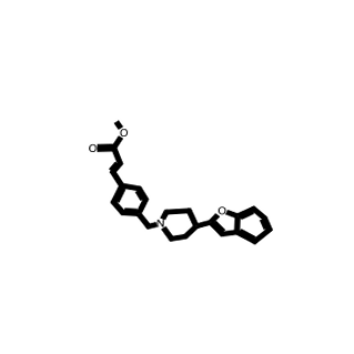 COC(=O)C=Cc1ccc(CN2CCC(c3cc4ccccc4o3)CC2)cc1